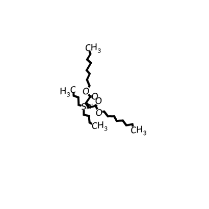 CCCCCCCCOC(=O)/C=C\C(=O)OCCCCCCCC.CCC[CH2][Sn][CH2]CCC